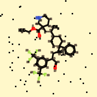 CCOC(=O)C1(CC(C)C2CCC([AsH]CC(C=O)c3cc(C(F)(F)F)cc(C(F)(F)F)c3)(c3ccccc3)CC2)CCCNC1